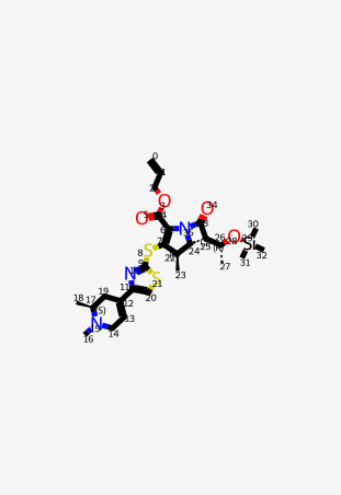 C=CCOC(=O)C1=C(Sc2nc(C3=CCN(C)[C@@H](C)C3)cs2)[C@H](C)C2[C@@H]([C@@H](C)O[Si](C)(C)C)C(=O)N12